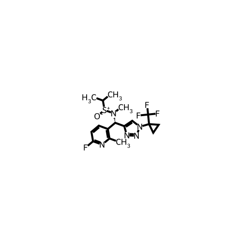 Cc1nc(F)ccc1[C@@H](c1cn(C2(C(F)(F)F)CC2)nn1)N(C)[S+]([O-])C(C)C